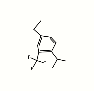 CCc1ccc(C(C)C)c(C(F)(F)F)c1